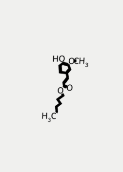 CCCCCCOC(=O)C=Cc1ccc(O)c(OC)c1